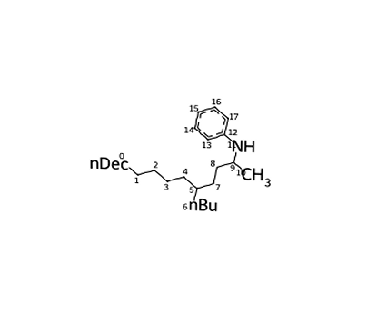 CCCCCCCCCCCCCCC(CCCC)CCC(C)Nc1ccccc1